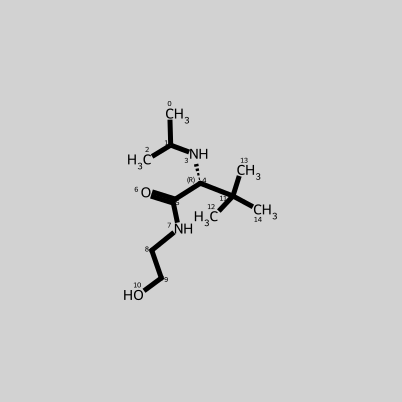 CC(C)N[C@@H](C(=O)NCCO)C(C)(C)C